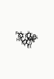 CCC(=O)c1cnc(Nc2cccc(F)n2)cc1Nc1ncccc1S(=O)(=O)C(F)F